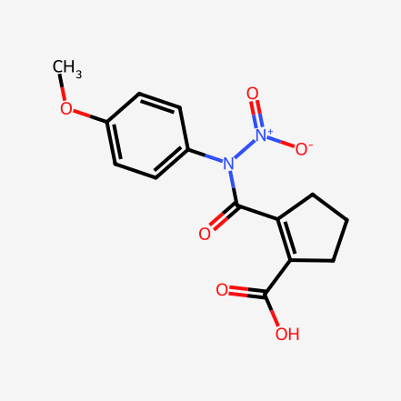 COc1ccc(N(C(=O)C2=C(C(=O)O)CCC2)[N+](=O)[O-])cc1